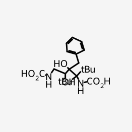 CC(C)(C)C(NC(=O)O)(C(C)(C)C)C(O)(Cc1ccccc1)C(O)CNC(=O)O